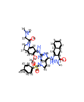 CNC(=O)c1cc2ccccc2cc1Nc1nc(Nc2cc3c(cc2OC)CCN3C(=O)CN(C)C)nc2c1ccn2S(=O)(=O)c1ccc(C)cc1